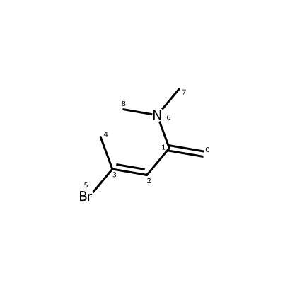 C=C(/C=C(\C)Br)N(C)C